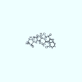 CN(C(=O)c1nc2cccc(Cl)c2[nH]1)[C@@H](CC1CC1)C(=O)N[C@@H](C[C@@H]1CCCNC1=O)C(N)=O